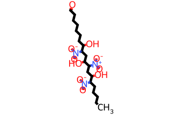 CCCCCC(C(O)CC(C(O)CC(C(O)CCCCCCC=O)[N+](=O)[O-])[N+](=O)[O-])[N+](=O)[O-]